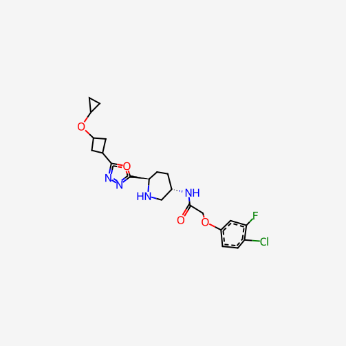 O=C(COc1ccc(Cl)c(F)c1)N[C@H]1CC[C@H](c2nnc(C3CC(OC4CC4)C3)o2)NC1